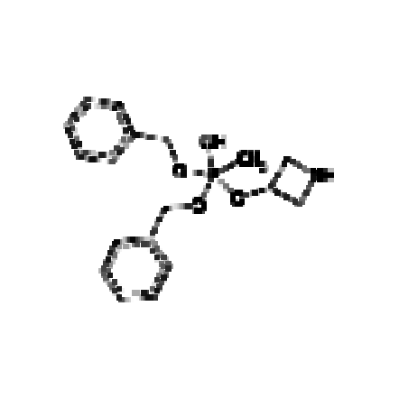 CP(O)(OCc1ccccc1)(OCc1ccccc1)OC1CNC1